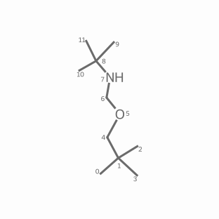 CC(C)(C)COCNC(C)(C)C